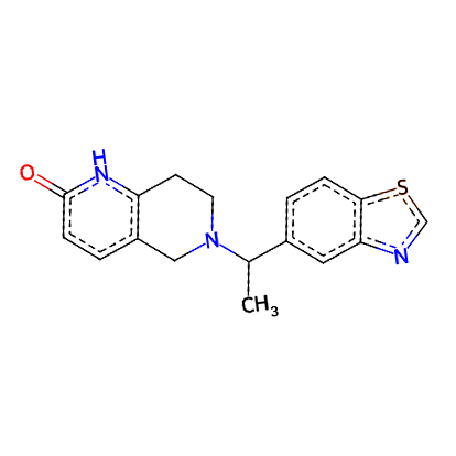 CC(c1ccc2scnc2c1)N1CCc2[nH]c(=O)ccc2C1